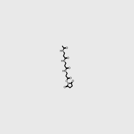 CC(=O)NCCC(=O)NCCC(=O)NCCC(=O)ON1C(=O)CCC1=O